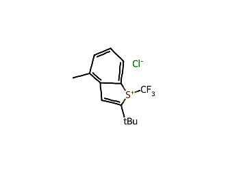 Cc1cccc2c1cc(C(C)(C)C)[s+]2C(F)(F)F.[Cl-]